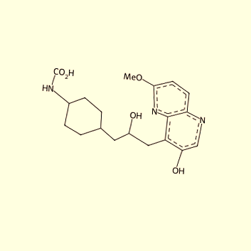 COc1ccc2ncc(O)c(CC(O)CC3CCC(NC(=O)O)CC3)c2n1